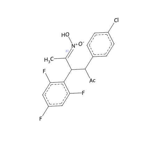 CC(=O)C(c1ccc(Cl)cc1)C(/C(C)=[N+](\[O-])O)c1c(F)cc(F)cc1F